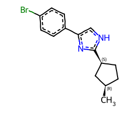 C[C@@H]1CC[C@H](c2nc(-c3ccc(Br)cc3)c[nH]2)C1